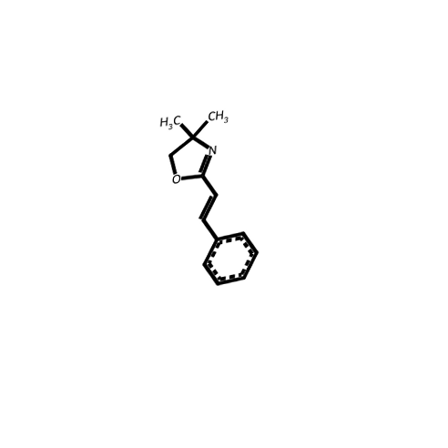 CC1(C)COC(C=Cc2ccccc2)=N1